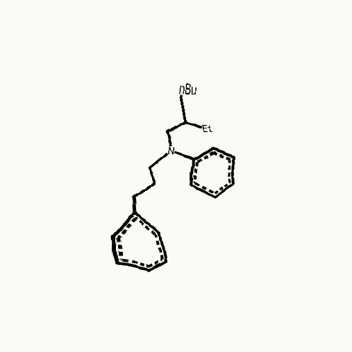 CCCCC(CC)CN(CCCc1ccccc1)c1ccccc1